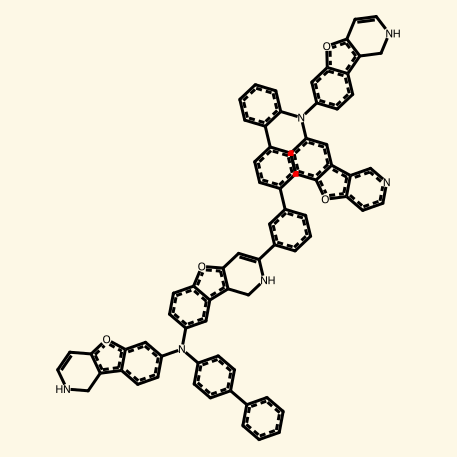 C1=Cc2oc3cc(N(c4ccc(-c5ccccc5)cc4)c4ccc5oc6c(c5c4)CNC(c4cccc(-c5ccc(-c7ccccc7N(c7ccc8c9c(oc8c7)C=CNC9)c7ccc8oc9ccncc9c8c7)cc5)c4)=C6)ccc3c2CN1